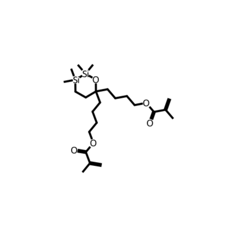 C=C(C)C(=O)OCCCCC1(CCCCOC(=O)C(=C)C)CC[Si](C)(C)[Si](C)(C)O1